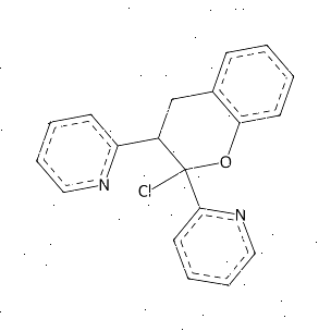 ClC1(c2ccccn2)Oc2ccccc2CC1c1ccccn1